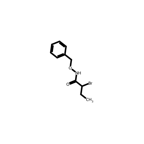 CCC(Br)C(=O)NOCc1ccccc1